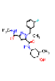 CNC(=O)c1cc(C(=O)N[C@H]2CC[C@@H](O)[C@H](C)C2)n([C@@H](C)c2cccc(F)c2)n1